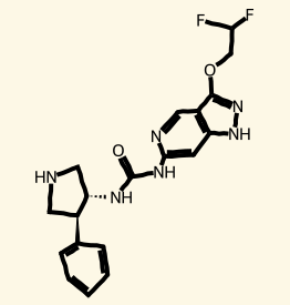 O=C(Nc1cc2[nH]nc(OCC(F)F)c2cn1)N[C@H]1CNC[C@@H]1c1ccccc1